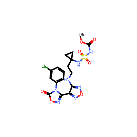 CC(C)(C)OC(=O)NS(=O)(=O)NC1(CCNc2nonc2-c2noc(=O)n2-c2cccc(Cl)c2)CC1